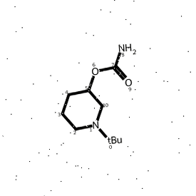 CC(C)(C)N1CCCC(OC(N)=O)C1